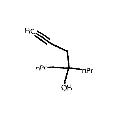 C#CCC(O)(CCC)CCC